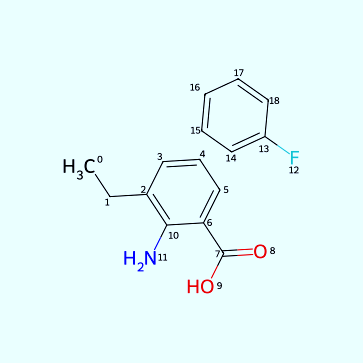 CCc1cccc(C(=O)O)c1N.Fc1ccccc1